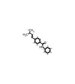 CC(C)/C=C/c1ccc(C(=O)Nc2ccccc2)cc1